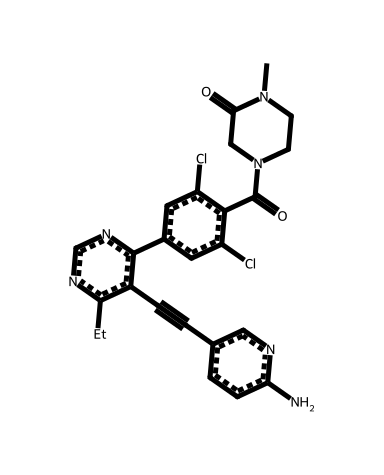 CCc1ncnc(-c2cc(Cl)c(C(=O)N3CCN(C)C(=O)C3)c(Cl)c2)c1C#Cc1ccc(N)nc1